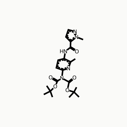 Cc1nc(N(C(=O)OC(C)(C)C)C(=O)OC(C)(C)C)ccc1NC(=O)c1ccnn1C